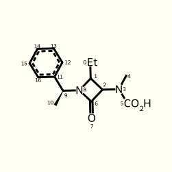 CCC1C(N(C)C(=O)O)C(=O)N1[C@@H](C)c1ccccc1